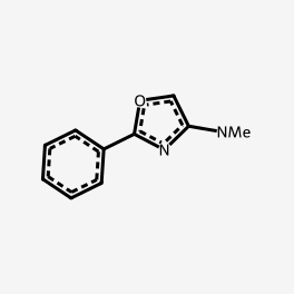 CNc1coc(-c2ccccc2)n1